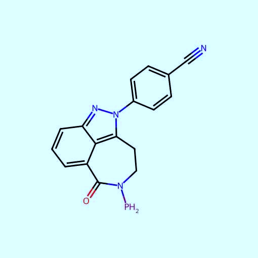 N#Cc1ccc(-n2nc3cccc4c3c2CCN(P)C4=O)cc1